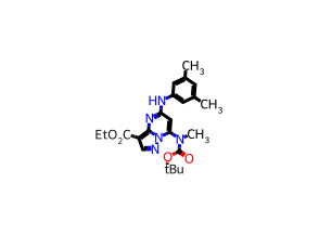 CCOC(=O)c1cnn2c(N(C)C(=O)OC(C)(C)C)cc(Nc3cc(C)cc(C)c3)nc12